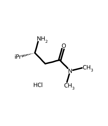 CC(C)[C@H](N)CC(=O)N(C)C.Cl